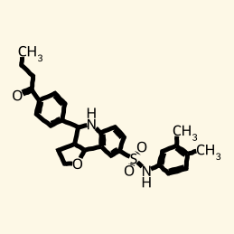 CCCC(=O)c1ccc(C2Nc3ccc(S(=O)(=O)Nc4ccc(C)c(C)c4)cc3C3OCCC23)cc1